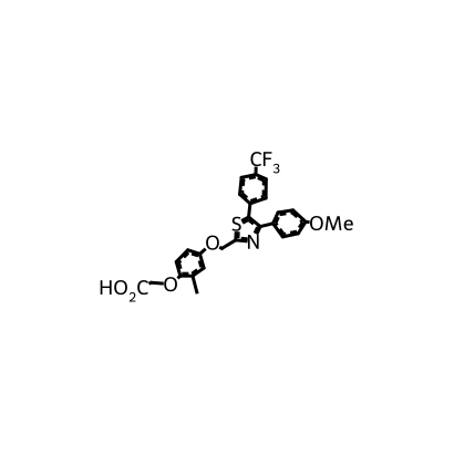 COc1ccc(-c2nc(COc3ccc(OCC(=O)O)c(C)c3)sc2-c2ccc(C(F)(F)F)cc2)cc1